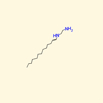 CCCCCCCCCCCC=CNCCN